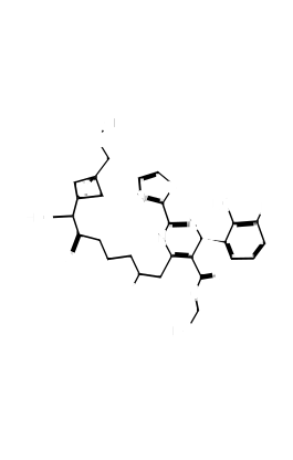 CCOC(=O)C1=C(CC(C)CCCC(=O)C(C)C23CC(COC)(C2)C3)NC(c2nccs2)=N[C@H]1c1cccc(F)c1C